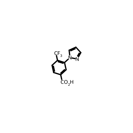 O=C(O)c1ccc(C(F)(F)F)c(-n2cccn2)c1